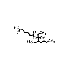 CCCCC(CC)C(O)(CC)OC(=O)CCCCC(=O)O